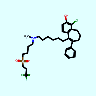 CN(CCCCCCC1=C(c2ccccc2)CCCc2c1ccc(O)c2Cl)CCCCS(=O)(=O)CCC(F)(F)F